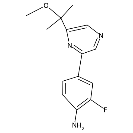 COC(C)(C)c1cncc(-c2ccc(N)c(F)c2)n1